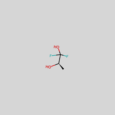 C[C@@H](O)C(O)(F)F